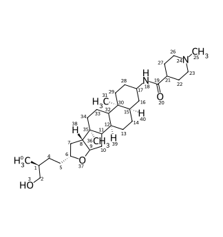 C[C@H](CO)CC[C@@H]1C[C@H]2C(CC3[C@@H]4CC[C@@H]5CC(NC(=O)C6CCN(C)CC6)CC[C@]5(C)C4CC[C@@]32C)O1